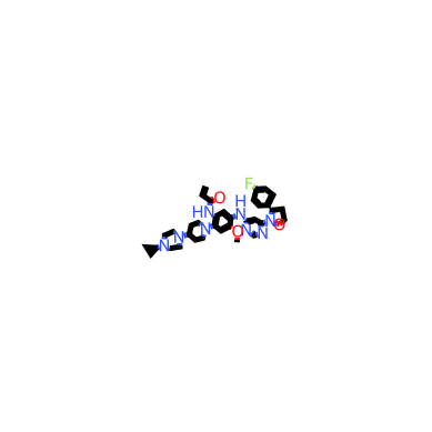 C=CC(=O)Nc1cc(Nc2cc(N3OCC[C@@H]3c3ccc(F)cc3)ncn2)c(OC)cc1N1CCC(N2CCN(C3CC3)CC2)CC1